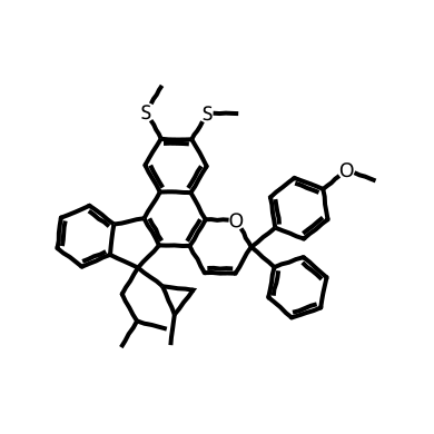 COc1ccc(C2(c3ccccc3)C=Cc3c4c(c5cc(SC)c(SC)cc5c3O2)-c2ccccc2C4(CC(C)C)C2CC2C)cc1